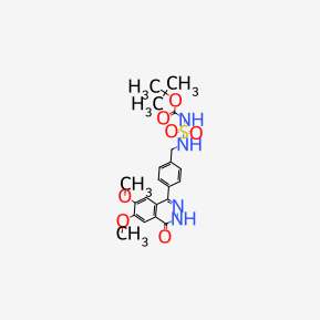 COc1cc2c(-c3ccc(CNS(=O)(=O)NC(=O)OC(C)(C)C)cc3)n[nH]c(=O)c2cc1OC